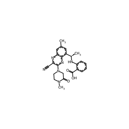 Cc1cc([C@@H](C)Nc2ccccc2C(=O)O)c2nc(N3CCN(C)C(=O)C3)c(C#N)nc2c1